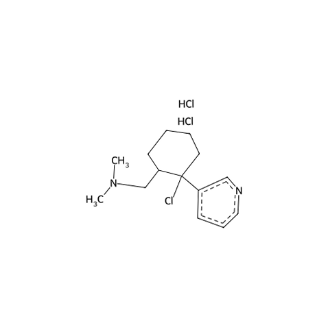 CN(C)CC1CCCCC1(Cl)c1cccnc1.Cl.Cl